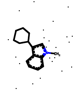 Cn1cc(C2CCCCC2)c2ccccc21